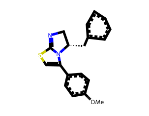 COc1ccc(C2=CSC3=NC[C@H](Cc4ccccc4)N23)cc1